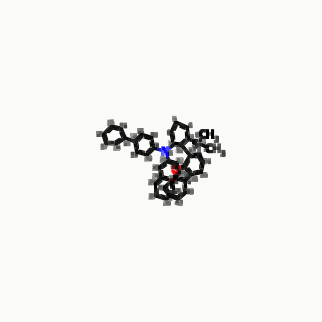 C[Si]1(C)c2cccc(N(c3ccc(-c4ccccc4)cc3)c3ccc4ccccc4c3)c2-c2c1ccc1c2oc2ccccc21